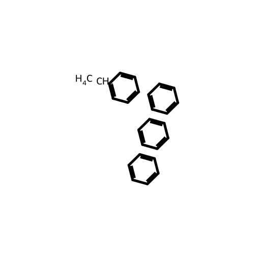 C.C.c1ccccc1.c1ccccc1.c1ccccc1.c1ccccc1